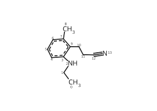 CCNc1cccc(C)c1CCC#N